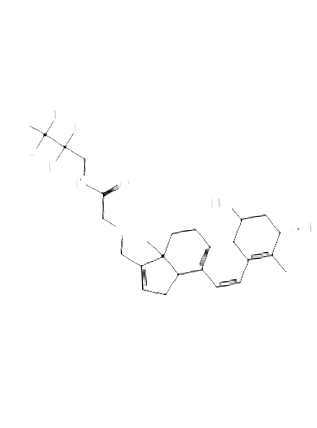 CC1=C(/C=C\C2=CCCC3(C)C([C@H](C)OCC(=O)NCC(F)(F)C(F)(F)F)=CCC23)CC(O)C[C@@H]1O